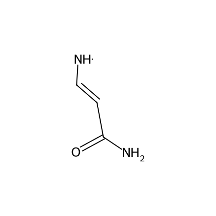 [NH]C=CC(N)=O